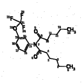 CCCCCC(=O)N(C(=O)CCCCC)c1cccc(OC(F)(F)F)c1